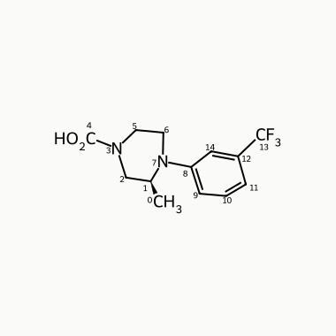 C[C@H]1CN(C(=O)O)CCN1c1cccc(C(F)(F)F)c1